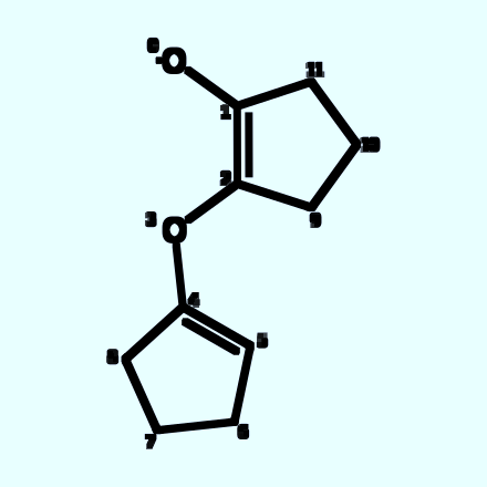 [O]C1=C(OC2=CCCC2)CCC1